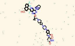 O=C1CC[C@H](N2Cc3cc(N4CCN(C5CC6(CCN(CC7(COc8nc(N9CC%10CCC(C9)N%10)c9cnc(-c%10cc(O)cc%11ccc(F)c(F)c%10%11)c(F)c9n8)CC7)CC6)C5)CC4)ccc3C2=O)C(=O)N1